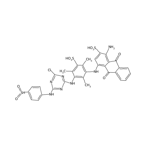 Cc1c(Nc2nc(Cl)nc(Nc3ccc([SH](=O)=O)cc3)n2)c(C)c(S(=O)(=O)O)c(C)c1Nc1cc(S(=O)(=O)O)c(N)c2c1C(=O)c1ccccc1C2=O